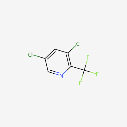 FC(F)(F)c1ncc(Cl)cc1Cl